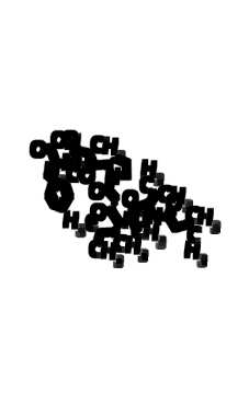 CCC(C)[C@@H]([C@@H](CC(=O)N1CCC[C@H]1[C@H](OC)[C@@H](C)C(=O)N[C@@H](Cc1ccccc1)C(=O)O)OC)N(C)C(=O)[C@@H](NC(=O)CC(C)C)C(C)C